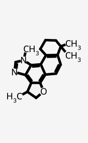 CC1COc2c1c1ncn(C)c1c1c3c(ccc21)C(C)(C)CCC3